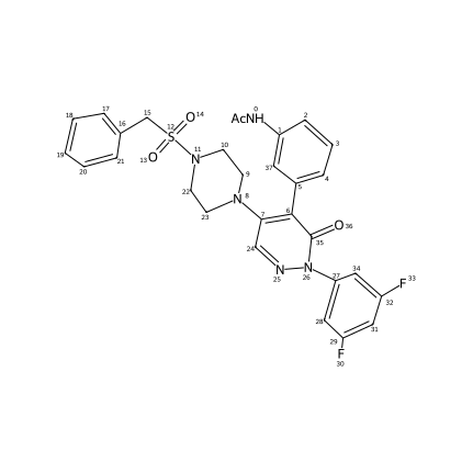 CC(=O)Nc1cccc(-c2c(N3CCN(S(=O)(=O)Cc4ccccc4)CC3)cnn(-c3cc(F)cc(F)c3)c2=O)c1